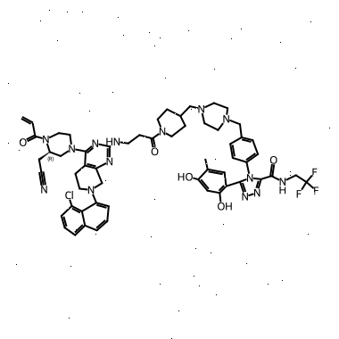 C=CC(=O)N1CCN(c2nc(NCCC(=O)N3CCC(CN4CCN(Cc5ccc(-n6c(C(=O)NCC(F)(F)F)nnc6-c6cc(C)c(O)cc6O)cc5)CC4)CC3)nc3c2CCN(c2cccc4cccc(Cl)c24)C3)C[C@H]1CC#N